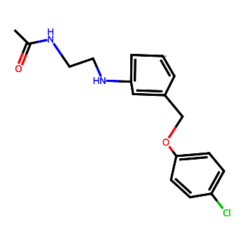 CC(=O)NCCNc1c[c]cc(COc2ccc(Cl)cc2)c1